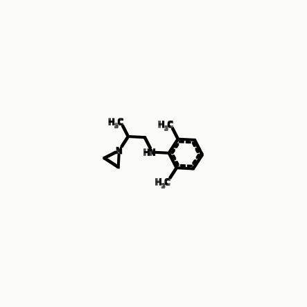 Cc1cccc(C)c1NCC(C)N1CC1